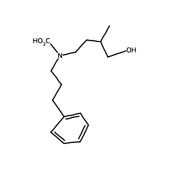 CC(CO)CCN(CCCc1ccccc1)C(=O)O